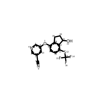 N#Cc1cncc(Oc2ccc(SC(F)(F)F)c3c2CCC3O)c1